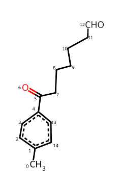 Cc1ccc(C(=O)CCCCCC=O)cc1